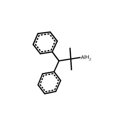 C[C](C)([AlH2])C(c1ccccc1)c1ccccc1